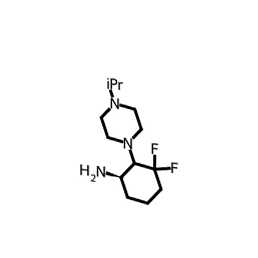 CC(C)N1CCN(C2[C@H](N)CCCC2(F)F)CC1